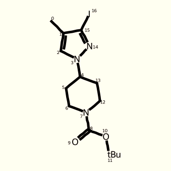 Cc1cn(C2CCN(C(=O)OC(C)(C)C)CC2)nc1I